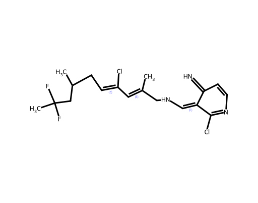 C/C(=C\C(Cl)=C\CC(C)CC(C)(F)F)CN/C=C1\C(=N)C=CN=C1Cl